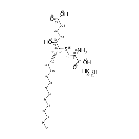 CCCCCCCCCCCCC#C[C@@H](SC[C@H](N)C(=O)O)[C@@H](O)CCCC(=O)O.[KH].[KH]